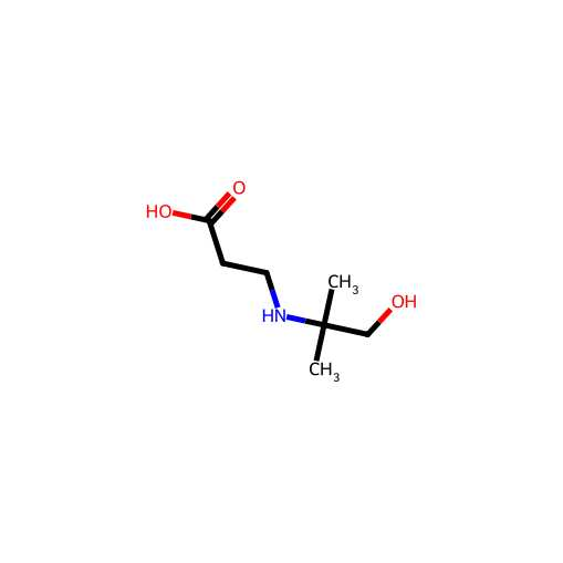 CC(C)(CO)NCCC(=O)O